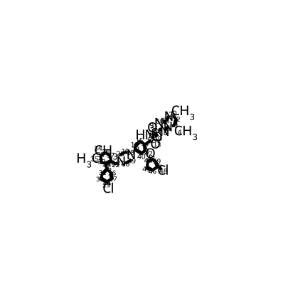 Cc1cc(C)n2nc(S(=O)(=O)NC(=O)c3ccc(N4CCN(CC5=C(c6ccc(Cl)cc6)CC(C)(C)CC5)CC4)cc3Oc3cccc(Cl)c3)nc2n1